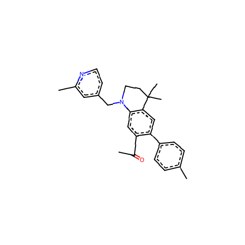 CC(=O)c1cc2c(cc1-c1ccc(C)cc1)C(C)(C)CCN2Cc1ccnc(C)c1